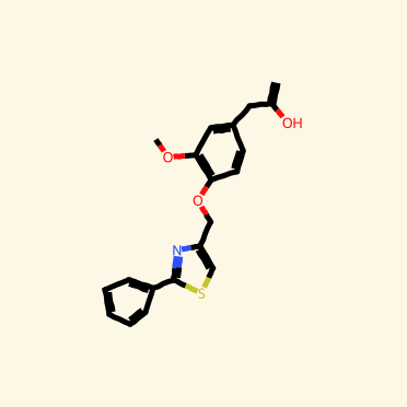 C=C(O)Cc1ccc(OCc2csc(-c3ccccc3)n2)c(OC)c1